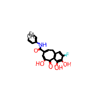 C/C=C\C(=C/CC)NC(=O)C1=C/Cc2cc(F)c(O)c(O)c2C(=O)/C(O)=C\1